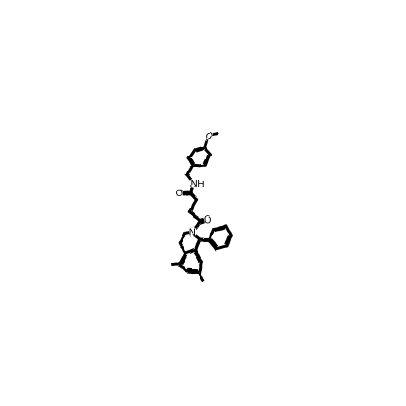 COc1ccc(CNC(=O)CCC(=O)N2CCc3c(C)cc(C)cc3C2c2ccccc2)cc1